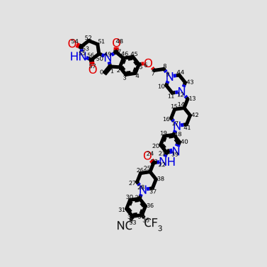 C=C1c2ccc(OCCN3CCN(CC4CCN(c5ccc(NC(=O)C6CCN(c7ccc(C#N)c(C(F)(F)F)c7)CC6)nc5)CC4)CC3)cc2C(=O)N1C1CCC(=O)NC1=O